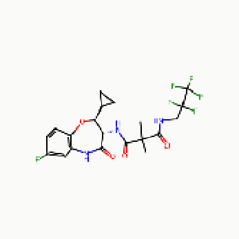 CC(C)(C(=O)NCC(F)(F)C(F)(F)F)C(=O)N[C@@H]1C(=O)Nc2cc(F)ccc2O[C@H]1C1CC1